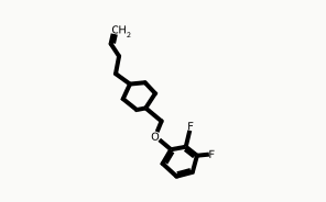 C=CCCC1CCC(COc2cccc(F)c2F)CC1